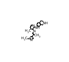 C=C1C=CN=C(Nc2ccc3c(c2)CNCC3)/C1=N/C=C(\C)c1cnn(CC)c1